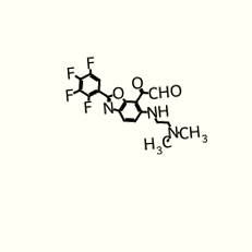 CN(C)CCNc1ccc2nc(-c3cc(F)c(F)c(F)c3F)oc2c1C(=O)C=O